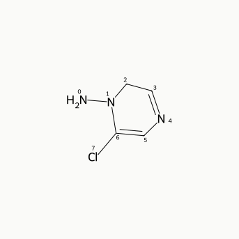 NN1CC=NC=C1Cl